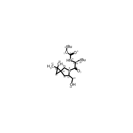 CC(C)(C)OC(=O)N[C@H](C(=O)N1CC2(CC1CO)CC2(C)C)C(C)(C)C